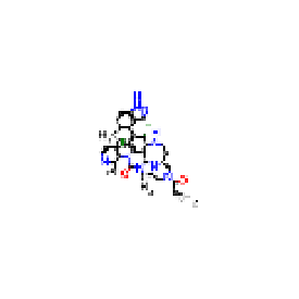 C=CC(=O)N1CC(C)N2c3nc(=O)n(-c4c(C)ccnc4C(C)C)c4c(F)c(-c5c(C)ccc6[nH]ncc56)c(F)c(c34)NCCC2C1